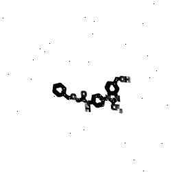 O=C(COCc1ccccc1)Nc1ccc(-n2c(C(F)(F)F)nc3cc(CO)ccc32)cc1